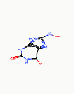 O=C1Nc2[nH]c(NO)nc2C(O)N1